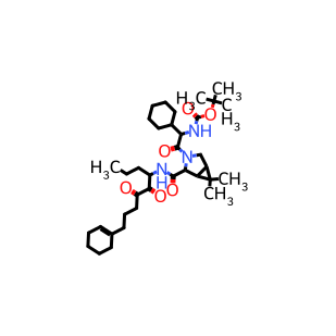 CCCC(NC(=O)C1C2C(CN1C(=O)C(NC(=O)OC(C)(C)C)C1CCCCC1)C2(C)C)C(=O)C(=O)CCCC1=CCCCC1